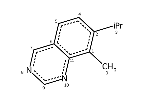 Cc1c(C(C)C)ccc2cncnc12